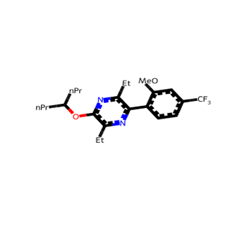 CCCC(CCC)Oc1nc(CC)c(-c2ccc(C(F)(F)F)cc2OC)nc1CC